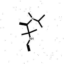 C=CNC(C)(C)C(=C)N(C)C(C)C